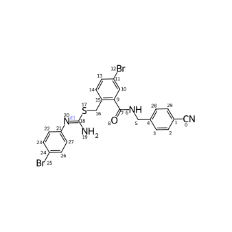 N#Cc1ccc(CNC(=O)c2cc(Br)ccc2CS/C(N)=N/c2ccc(Br)cc2)cc1